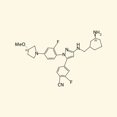 CO[C@H]1CCN(c2ccc(-n3nc(NCC4CCC[C@H](N)C4)cc3-c3ccc(C#N)c(F)c3)c(F)c2)C1